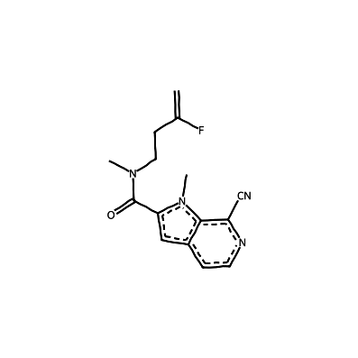 C=C(F)CCN(C)C(=O)c1cc2ccnc(C#N)c2n1C